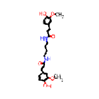 COc1cc(/C=C/C(=O)NCCCCNC(=O)/C=C/c2ccc(O)c(OC)c2)ccc1O